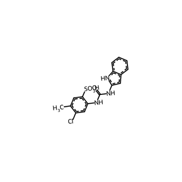 Cc1cc(S(=O)(=O)O)c(NC(=O)Nc2cc3ccccc3[nH]2)cc1Cl